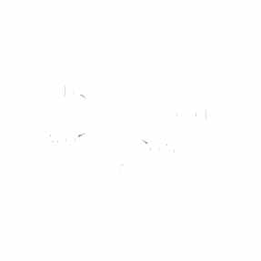 CC(=O)O[C@@H]1[C@@H](OC(C)=O)[C@@H](Br)C[C](CC(=O)O)[C@H]1OC(C)=O